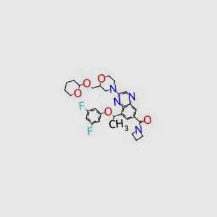 CC(Oc1cc(F)cc(F)c1)c1cc(C(=O)N2CCC2)cc2ncc(N3CCOC(COC4CCCCO4)C3)nc12